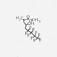 C=C(CC(O)CC(F)(F)C(F)(F)C(F)(F)C(F)(F)F)C(=O)OC